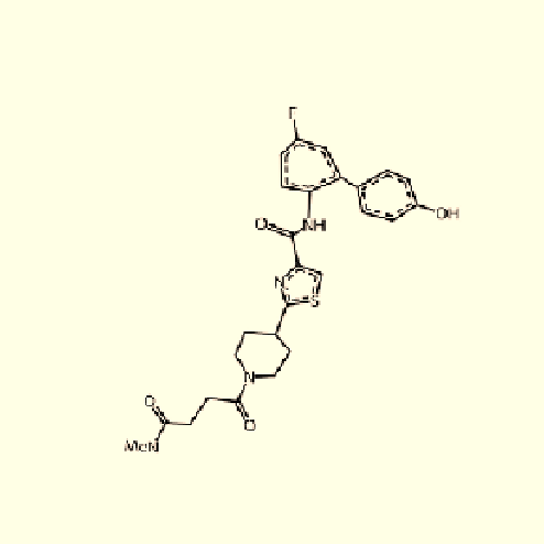 CNC(=O)CCC(=O)N1CCC(c2nc(C(=O)Nc3ccc(F)cc3-c3ccc(O)cc3)cs2)CC1